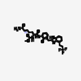 COC(=O)N[C@@H](CC/C=C/C(N)=O)C(=O)Nc1cccn(Cc2nc3c(CCC(F)(F)F)cccc3[nH]2)c1=O